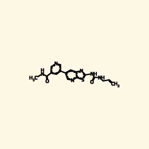 C=CCNC(=O)Nc1nc2cc(-c3cncc(C(=O)NC)c3)cnc2s1